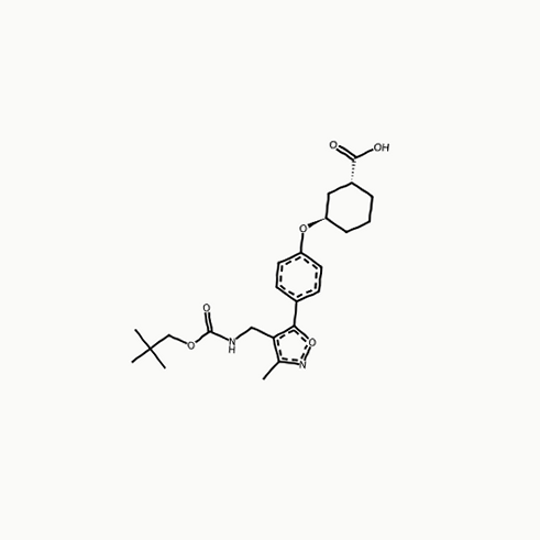 Cc1noc(-c2ccc(O[C@@H]3CCC[C@@H](C(=O)O)C3)cc2)c1CNC(=O)OCC(C)(C)C